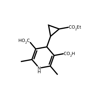 CCOC(=O)C1CC1C1C(C(=O)O)=C(C)NC(C)=C1C(=O)O